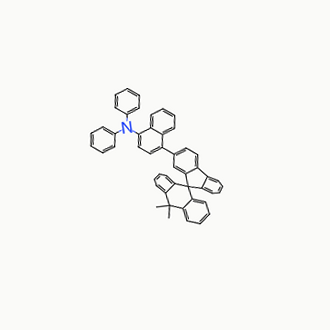 CC1(C)c2ccccc2C2(c3ccccc3-c3ccc(-c4ccc(N(c5ccccc5)c5ccccc5)c5ccccc45)cc32)c2ccccc21